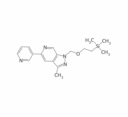 Cc1nn(COCC[Si](C)(C)C)c2cnc(-c3cccnc3)cc12